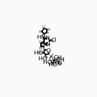 C[C@@](CO)(OC[C@H]1O[C@@H](c2ccc3c(NC4CCCC4)nc(Cl)nn23)[C@H](O)[C@@H]1O)P(=O)(O)O